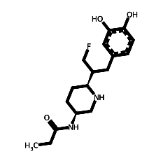 CCC(=O)N[C@H]1CC[C@@H](C(CF)Cc2ccc(O)c(O)c2)NC1